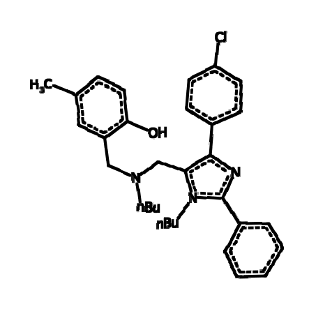 CCCCN(Cc1cc(C)ccc1O)Cc1c(-c2ccc(Cl)cc2)nc(-c2ccccc2)n1CCCC